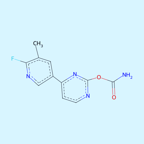 Cc1cc(-c2ccnc(OC(N)=O)n2)cnc1F